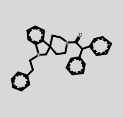 O=C(C(c1ccccc1)c1ccccc1)N1CCC2(CC1)CN(CCc1ccccc1)c1ccccc12